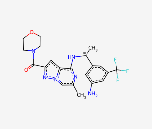 Cc1cn2nc(C(=O)N3CCOCC3)cc2c(N[C@H](C)c2cc(N)cc(C(F)(F)F)c2)n1